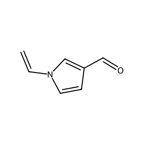 C=Cn1ccc(C=O)c1